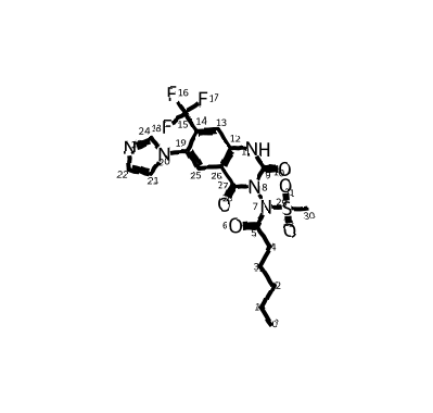 CCCCCC(=O)N(n1c(=O)[nH]c2cc(C(F)(F)F)c(-n3ccnc3)cc2c1=O)S(C)(=O)=O